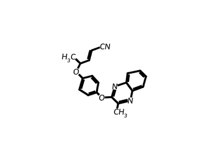 Cc1nc2ccccc2nc1Oc1ccc(OC(C)C=CC#N)cc1